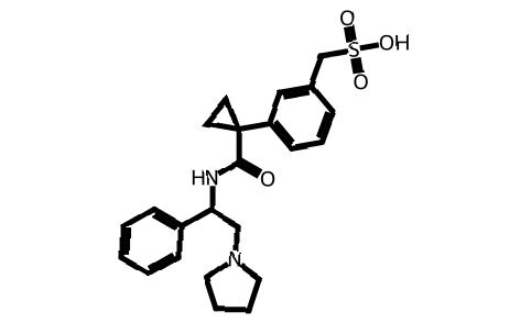 O=C(NC(CN1CCCC1)c1ccccc1)C1(c2cccc(CS(=O)(=O)O)c2)CC1